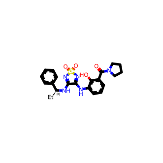 CC[C@@H](NC1=NS(=O)(=O)N=C1Nc1cccc(C(=O)N2CCCC2)c1O)c1ccccc1